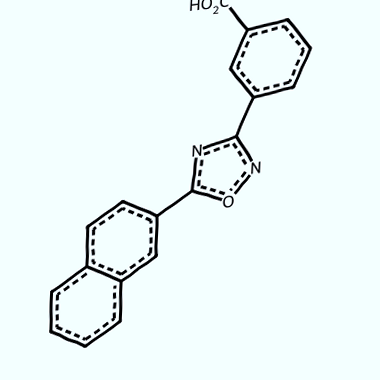 O=C(O)c1cccc(-c2noc(-c3ccc4ccccc4c3)n2)c1